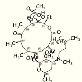 C=C(C)CCN(C)[C@H]1C[C@@H](C)O[C@@H](O[C@@H]2[C@@H](C)C(=O)[C@@H](C)C(=O)O[C@H](CC)[C@@](C)(O)[C@H](OS(C)(=O)=O)[C@@H](C)C(=O)[C@H](C)C[C@@]2(C)OC)[C@@H]1OC(C)=O